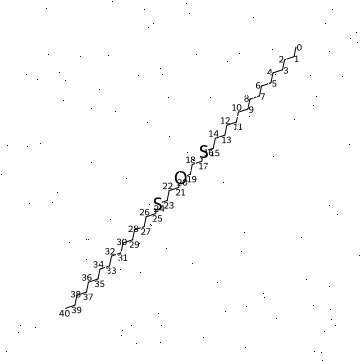 CCCCCCCCCCCCCCCCSCCCOCCCSCCCCCCCCCCCCCCCC